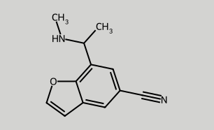 CNC(C)c1cc(C#N)cc2ccoc12